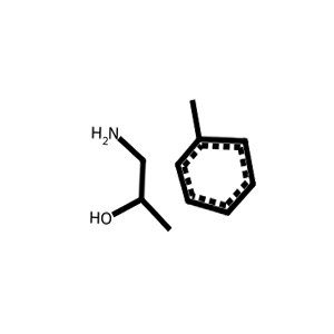 CC(O)CN.Cc1ccccc1